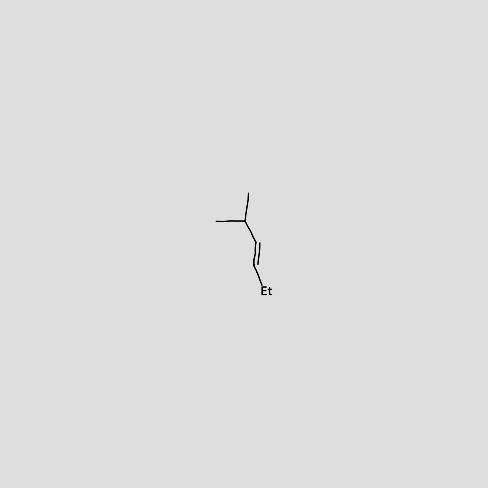 [CH2]C/C=C/C(C)C